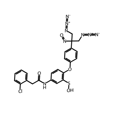 [N-]=[N+]=NCC(CN=[N+]=[N-])(N=O)c1ccc(Oc2ccc(NC(=O)Cc3ccccc3Cl)cc2SO)cc1